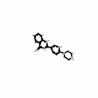 O=c1nc(-c2ccc(N3CCOCC3)nc2)sc2ccccc12